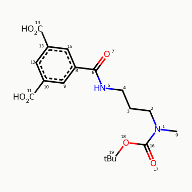 CN(CCCNC(=O)c1cc(C(=O)O)cc(C(=O)O)c1)C(=O)OC(C)(C)C